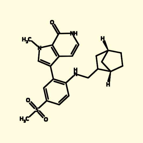 Cn1cc(-c2cc(S(C)(=O)=O)ccc2NCC2C[C@@H]3CC[C@H]2C3)c2cc[nH]c(=O)c21